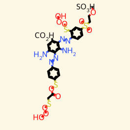 Nc1cc(C(=O)O)c(N=Nc2ccc(S(=O)(=O)CCOS(=O)(=O)O)cc2SOOO)c(N)c1N=Nc1ccc(SOC(=O)CSOOO)cc1